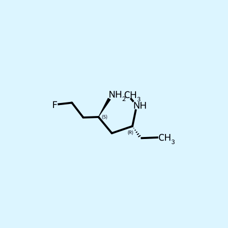 CC[C@H](C[C@H](N)CCF)NC